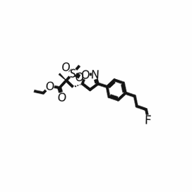 CCOC(=O)[C@@](C)(C[C@H]1CC(c2ccc(CCCF)cc2)=NO1)S(C)(=O)=O